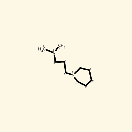 CN(C)CCCN1CCCCC1